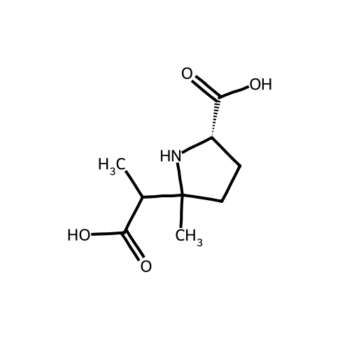 CC(C(=O)O)C1(C)CC[C@@H](C(=O)O)N1